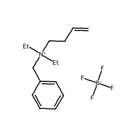 C=CCC[N+](CC)(CC)Cc1ccccc1.F[B-](F)(F)F